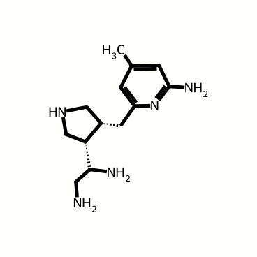 Cc1cc(N)nc(C[C@H]2CNC[C@H]2C(N)CN)c1